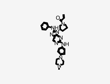 C=CC(=O)N1CCC[C@H](n2c(Nc3ccccc3)nc3cnc(Nc4ccc(N5CCN(C)CC5)cc4)nc32)C1